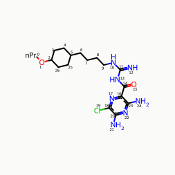 CCCOC1CCC(CCCCNC(=N)NC(=O)c2nc(Cl)c(N)nc2N)CC1